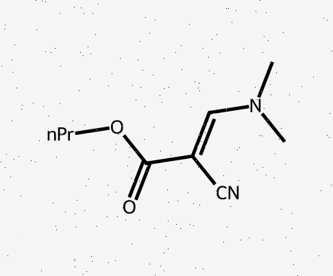 CCCOC(=O)C(C#N)=CN(C)C